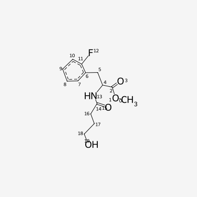 COC(=O)C(Cc1ccccc1F)NC(=O)CCCO